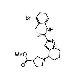 COC(=O)[C@@H]1CCN([C@@H]2CCCn3nc(C(=O)Nc4cccc(Br)c4C)cc32)C1